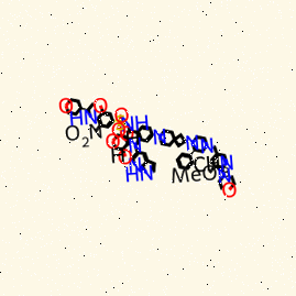 COc1cc(CN2CCN(C3CC4(CCN(c5ccc(C(=O)NS(=O)(=O)c6cc7c(c([N+](=O)[O-])c6)N[C@@H](C6CCOCC6)CO7)c(N6c7cc8cc[nH]c8nc7O[C@H]7COCC[C@@H]76)c5)CC4)C3)[C@H](c3ccccc3C)C2)cnc1N1CCOCC1